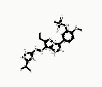 CCc1nn2c(-c3ccc(OC)c(NS(C)(=O)=O)c3)n[nH]c2c1/N=N/c1nc(C(C)C)no1